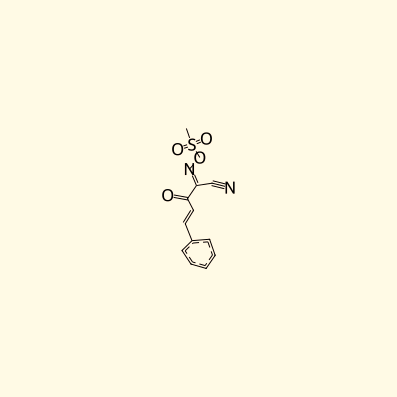 CS(=O)(=O)O/N=C(\C#N)C(=O)/C=C/c1ccccc1